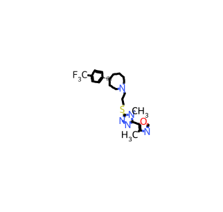 Cc1ncoc1-c1nnc(SCCCN2CCCC[C@@H](c3ccc(C(F)(F)F)cc3)CC2)n1C